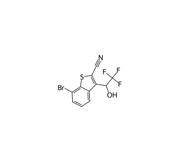 N#Cc1sc2c(Br)cccc2c1C(O)C(F)(F)F